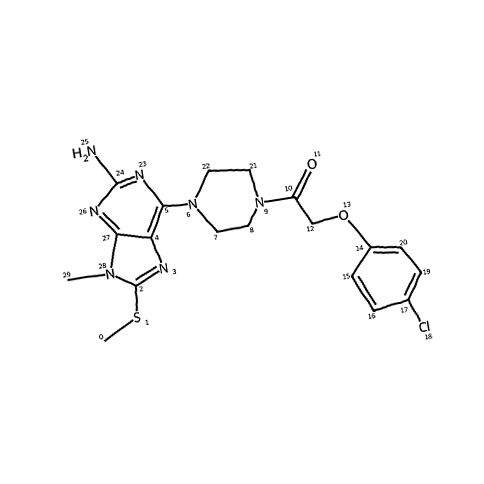 CSc1nc2c(N3CCN(C(=O)COc4ccc(Cl)cc4)CC3)nc(N)nc2n1C